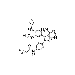 C=CC(=O)Nc1ccc(-c2nn3ncnc(N)c3c2-c2ccc(NC3CCC3)c(OC)c2)cc1